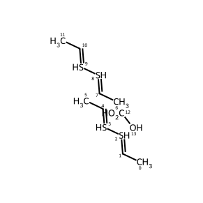 CC=[SH][SH]=CC.CC=[SH][SH]=CC.O=C(O)O